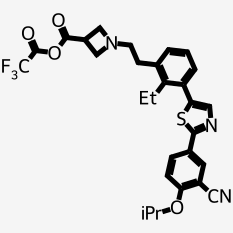 CCc1c(CCN2CC(C(=O)OC(=O)C(F)(F)F)C2)cccc1-c1cnc(-c2ccc(OC(C)C)c(C#N)c2)s1